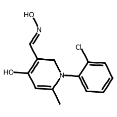 CC1=CC(O)=C(C=NO)CN1c1ccccc1Cl